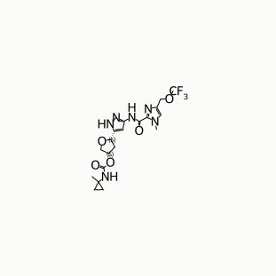 Cn1cc(COC(F)(F)F)nc1C(=O)Nc1cc([C@@H]2C[C@H](OC(=O)NC3(C)CC3)CO2)[nH]n1